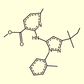 CCC(C)(C)c1cc(Nc2nc(C)ccc2C(=O)OC)n(-c2ccccc2C)n1